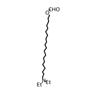 CCN(CC)CCCCCCCCCCCCCCCCCCCCO[C]=O